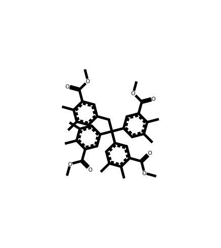 COC(=O)c1cc(CC(c2cc(C)c(C)c(C(=O)OC)c2)(c2cc(C)c(C)c(C(=O)OC)c2)c2cc(C)c(C)c(C(=O)OC)c2)cc(C)c1C